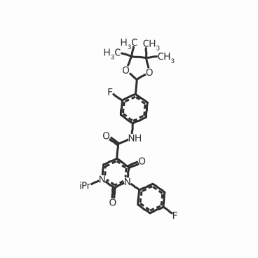 CC(C)n1cc(C(=O)Nc2ccc(C3OC(C)(C)C(C)(C)O3)c(F)c2)c(=O)n(-c2ccc(F)cc2)c1=O